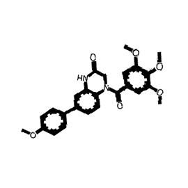 COc1ccc(-c2ccc3c(c2)NC(=O)CN3C(=O)c2cc(OC)c(OC)c(OC)c2)cc1